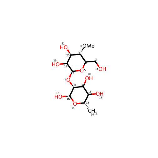 CO[C@@H]1C(CO)O[C@@H](O[C@H]2C(O)C(O)[C@H](C)O[C@H]2O)C(O)[C@H]1O